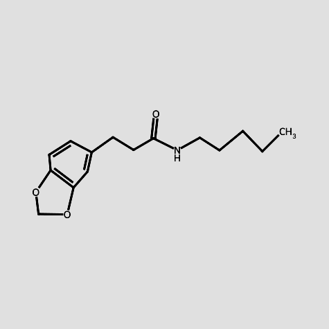 CCCCCNC(=O)CCc1ccc2c(c1)OCO2